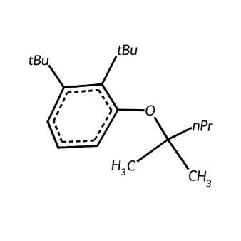 CCCC(C)(C)Oc1cccc(C(C)(C)C)c1C(C)(C)C